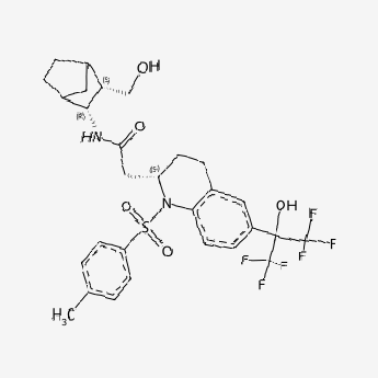 Cc1ccc(S(=O)(=O)N2c3ccc(C(O)(C(F)(F)F)C(F)(F)F)cc3CC[C@H]2CC(=O)N[C@@H]2C3CCC(C3)[C@@H]2CO)cc1